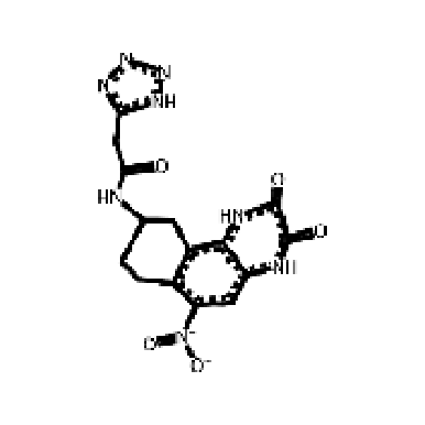 O=C(Cc1nnn[nH]1)NC1CCc2c([N+](=O)[O-])cc3[nH]c(=O)c(=O)[nH]c3c2C1